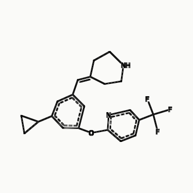 FC(F)(F)c1ccc(Oc2cc(C=C3CCNCC3)cc(C3CC3)c2)nc1